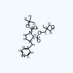 CC1(COC(=O)[C@@H]2[C@@H](Cc3ccncc3)CCN2C(=O)OC(C)(C)C)COC1